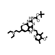 CCN(CC)CCC1=Cc2nn(Cc3ncc(C)c(OC)c3C)c3nc(NC(=O)OC(C)(C)C)nc(c23)SC1